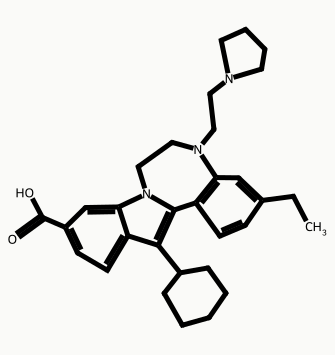 CCc1ccc2c(c1)N(CCN1CCCC1)CCn1c-2c(C2CCCCC2)c2ccc(C(=O)O)cc21